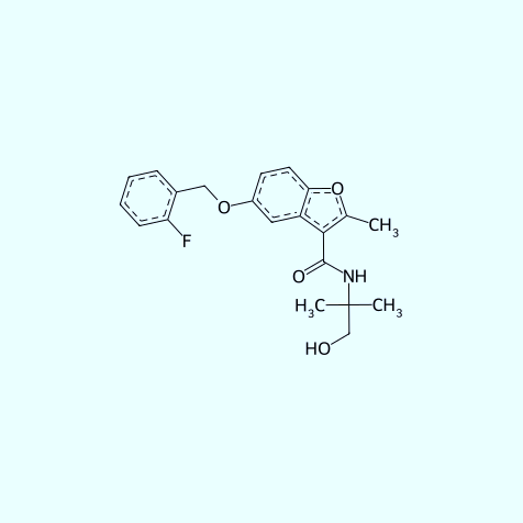 Cc1oc2ccc(OCc3ccccc3F)cc2c1C(=O)NC(C)(C)CO